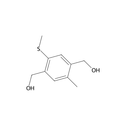 CSc1cc(CO)c(C)cc1CO